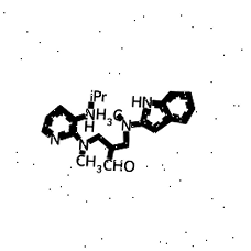 CC(C)Nc1cccnc1N(C)CC(C=O)CN(C)c1cc2ccccc2[nH]1